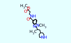 COC(=O)CCNC(=O)c1ccc2c(c1)nc(C(C)CC1CCNCC1)n2C